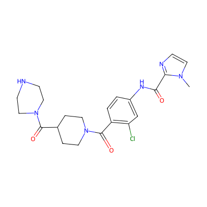 Cn1ccnc1C(=O)Nc1ccc(C(=O)N2CCC(C(=O)N3CCNCC3)CC2)c(Cl)c1